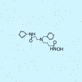 O=C(CCCN(CCC(=O)Nc1ccccc1)Cc1ccccc1)NO